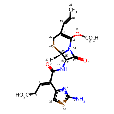 Nc1nc(C(=CCC(=O)O)C(=O)N[C@@H]2C(=O)N3C(OC(=O)O)=C(C=CC(F)(F)F)CS[C@@H]23)cs1